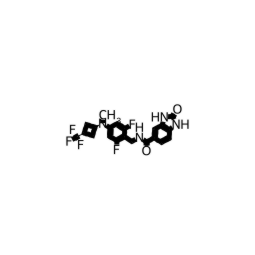 CN(c1cc(F)c(CNC(=O)c2ccc3[nH]c(=O)[nH]c3c2)c(F)c1)[C@H]1C[C@@H](C(F)(F)F)C1